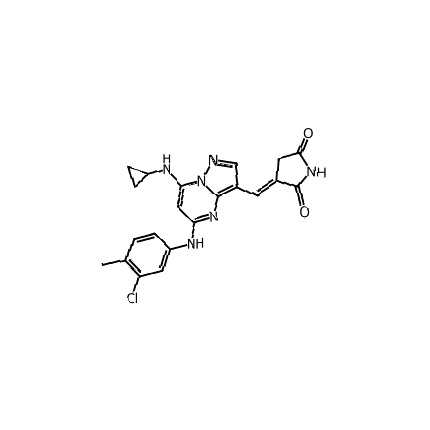 Cc1ccc(Nc2cc(NC3CC3)n3ncc(/C=C4\CC(=O)NC4=O)c3n2)cc1Cl